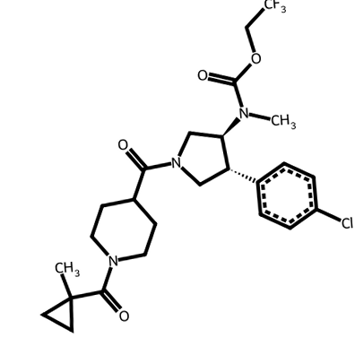 CN(C(=O)OCC(F)(F)F)[C@@H]1CN(C(=O)C2CCN(C(=O)C3(C)CC3)CC2)C[C@H]1c1ccc(Cl)cc1